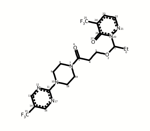 CCC(OCCC(=O)N1CCN(c2ncc(C(F)(F)F)cn2)CC1)n1nccc(C(F)(F)F)c1=O